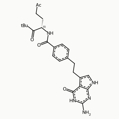 CC(=O)CC[C@H](NC(=O)c1ccc(CCc2c[nH]c3nc(N)[nH]c(=O)c23)cc1)C(=O)C(C)(C)C